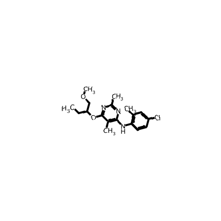 CCC(COC)Oc1nc(C)nc(Nc2ccc(Cl)cc2C)c1C